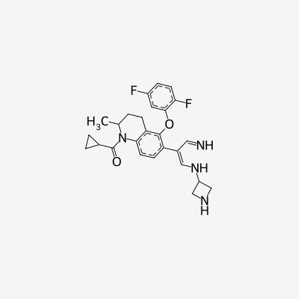 CC1CCc2c(ccc(/C(C=N)=C/NC3CNC3)c2Oc2cc(F)ccc2F)N1C(=O)C1CC1